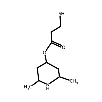 CC1CC(OC(=O)CCS)CC(C)N1